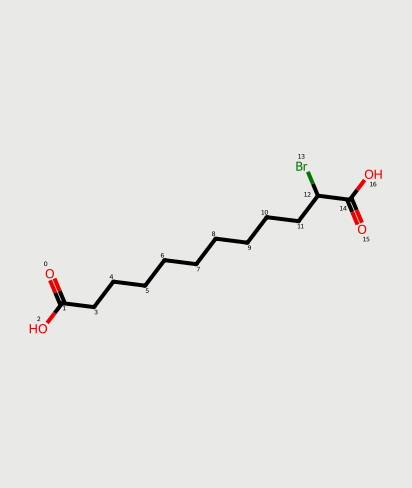 O=C(O)CCCCCCCCCC(Br)C(=O)O